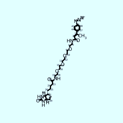 C/C(=C\C(=O)NCCOCCOCCOCCOCCNC(=O)CCCC[C@@H]1SC[C@@H]2NC(=O)N[C@@H]21)c1ccc(N=[N+]=[N-])cc1